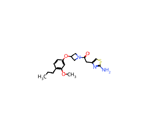 CCCc1ccc(OC2CN(C(=O)Cc3csc(N)n3)C2)cc1OC